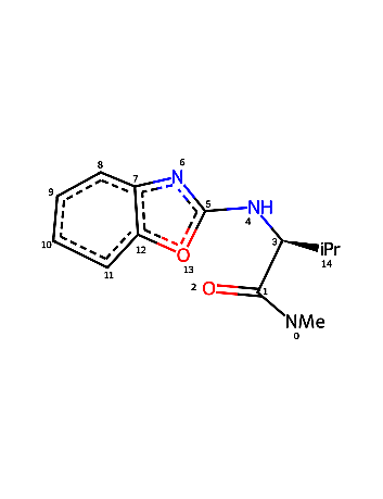 CNC(=O)[C@@H](Nc1nc2ccccc2o1)C(C)C